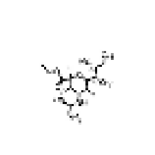 CCOC(=O)C1(F)OC([C@H](O)[C@H](O)CO)C(C)C(NC(=N)N)C1F